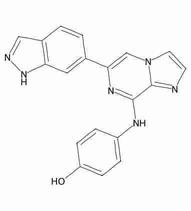 Oc1ccc(Nc2nc(-c3ccc4cn[nH]c4c3)cn3ccnc23)cc1